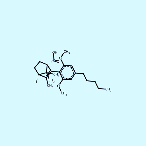 CCCCCc1cc(OC)c(C2=C(C)[C@H]3CC[C@]2(C(=O)O)C3(C)C)c(OC)c1